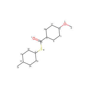 COC1CCC(C(=O)SC2CCC(C)CC2)CC1